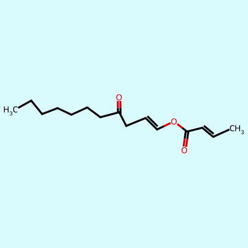 C/C=C/C(=O)OC=CCC(=O)CCCCCCC